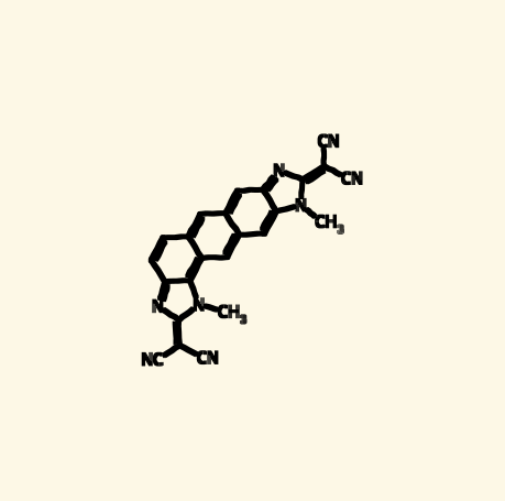 Cn1c(=C(C#N)C#N)nc2cc3cc4ccc5nc(=C(C#N)C#N)n(C)c5c4cc3cc21